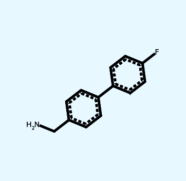 NCc1ccc(-c2[c]cc(F)cc2)cc1